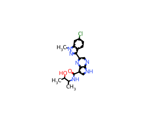 CC(O)C(C)NC(=O)c1c[nH]c2ncc(-c3nn(C)c4cc(Cl)ccc34)nc12